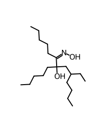 CCCCCC(=NO)C(O)(CCCCC)CC(CC)CCCC